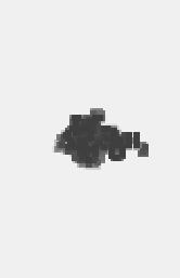 CCOC(=O)N1CCCC1C(=O)N[C@@H](Cc1cc(F)cc(F)c1)c1ncccc1-c1ccc(F)c(C(N)=O)c1